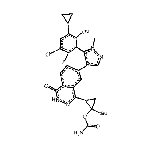 Cn1ncc(-c2ccc3c(=O)[nH]nc(C4CC4(OC(N)=O)C(C)(C)C)c3c2)c1-c1c(F)c(Cl)cc(C2CC2)c1C#N